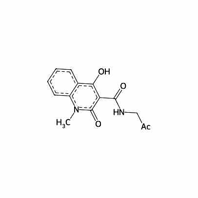 CC(=O)CNC(=O)c1c(O)c2ccccc2n(C)c1=O